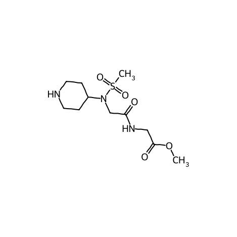 COC(=O)CNC(=O)CN(C1CCNCC1)S(C)(=O)=O